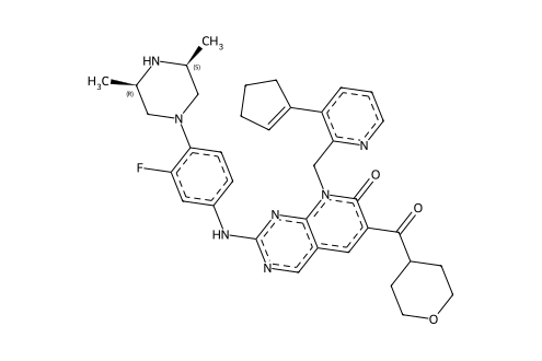 C[C@@H]1CN(c2ccc(Nc3ncc4cc(C(=O)C5CCOCC5)c(=O)n(Cc5ncccc5C5=CCCC5)c4n3)cc2F)C[C@H](C)N1